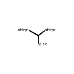 CCCCCCCC(CCCCCC)CCCCCCC